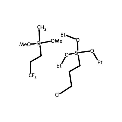 CCO[Si](CCCCl)(OCC)OCC.CO[Si](C)(CCC(F)(F)F)OC